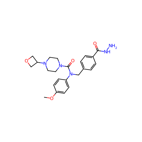 COc1ccc(N(Cc2ccc(C(=O)NN)cc2)C(=O)N2CCN(C3COC3)CC2)cc1